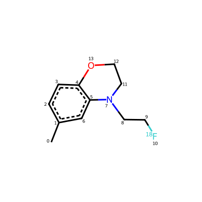 Cc1ccc2c(c1)N(CC[18F])CCO2